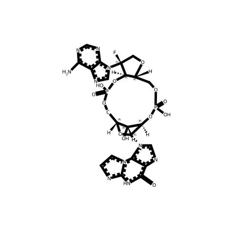 Nc1ncnc2c1ncn2[C@]1(F)CO[C@@H]2COP(=O)(O)O[C@@H]3[C@H](O)[C@@H](COP(=O)(O)O[C@H]21)O[C@H]3n1cnc2c(=O)[nH]c3nccn3c21